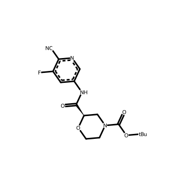 CC(C)(C)OC(=O)N1CCO[C@@H](C(=O)Nc2cnc(C#N)c(F)c2)C1